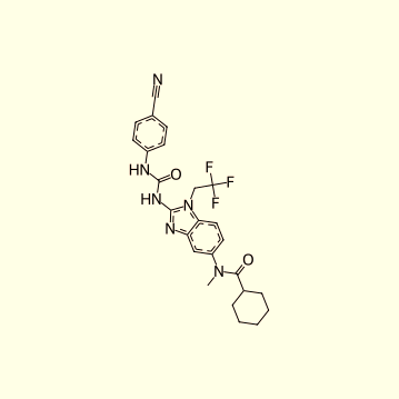 CN(C(=O)C1CCCCC1)c1ccc2c(c1)nc(NC(=O)Nc1ccc(C#N)cc1)n2CC(F)(F)F